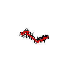 Cc1ncsc1-c1ccc(CNC(=O)[C@@H]2CCCN2C(=O)[C@@H](NC(=O)CCCCCOCCOCCCCCCOc2cccc(CNC(=O)c3cccc(NCc4nnc(-c5ccncn5)n4C)c3)c2)C(C)(C)C)cc1